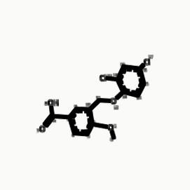 COc1ccc(C(=O)O)cc1COc1ccc(Cl)cc1Cl